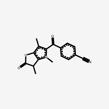 Cc1c2c(n(C)c1C(=O)c1ccc(C#N)cc1)C(C)C(=O)O2